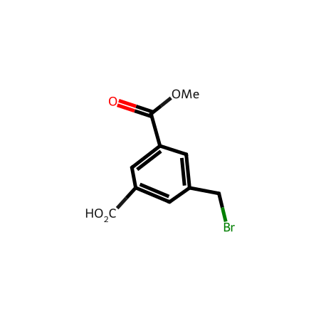 COC(=O)c1cc(CBr)cc(C(=O)O)c1